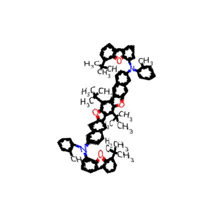 Cc1ccccc1N(c1ccc2cc3c(cc2c1)oc1c(C(C)(C)C)c2c(oc4cc5cc(N(c6ccccc6C)c6cccc7c6oc6c(C(C)(C)C)cccc67)ccc5cc42)c(C(C)(C)C)c13)c1cccc2c1oc1c(C(C)(C)C)cccc12